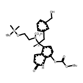 CC(C)(C)OC(=O)Oc1ccc([C@@](C)(Cc2cccc(CO)c2)N(CCO[Si](C)(C)C(C)(C)C)C(=O)O)c2ccc(=O)[nH]c12